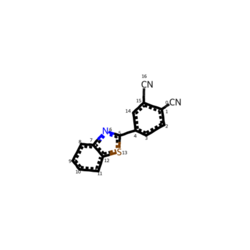 N#Cc1ccc(-c2nc3ccccc3s2)cc1C#N